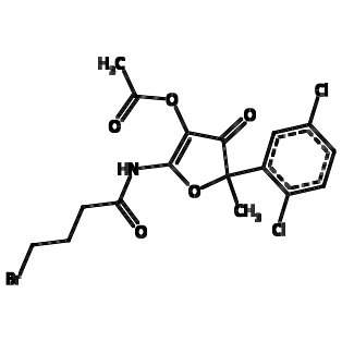 CC(=O)OC1=C(NC(=O)CCCBr)OC(C)(c2cc(Cl)ccc2Cl)C1=O